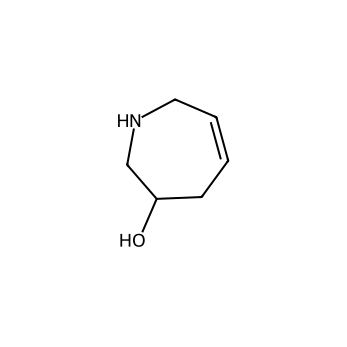 OC1CC=CCNC1